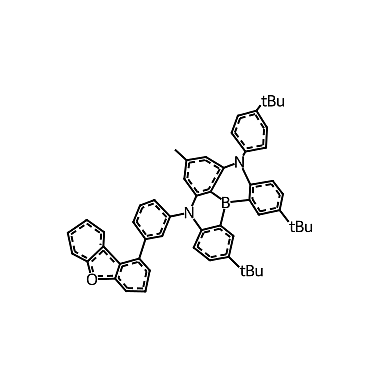 Cc1cc2c3c(c1)N(c1cccc(-c4cccc5oc6ccccc6c45)c1)c1ccc(C(C)(C)C)cc1B3c1cc(C(C)(C)C)ccc1N2c1ccc(C(C)(C)C)cc1